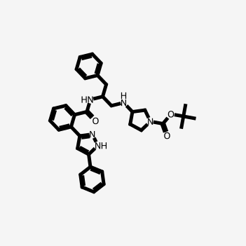 CC(C)(C)OC(=O)N1CCC(NCC(Cc2ccccc2)NC(=O)c2ccccc2-c2cc(-c3ccccc3)[nH]n2)C1